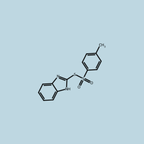 Cc1ccc(S(=O)(=O)Sc2nc3ccccc3[nH]2)cc1